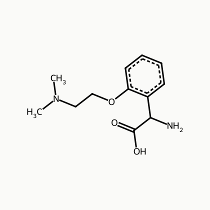 CN(C)CCOc1ccccc1C(N)C(=O)O